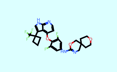 Fc1cc(NC2=NCC3(CCOCC3)CO2)cc(F)c1Oc1ccnc2[nH]cc(C3(C(F)(F)F)CCC3)c12